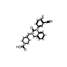 N#Cc1cc(N2C(=O)N(CC3CCN(C(=O)O)CC3)Cc3ccccc32)ccc1F